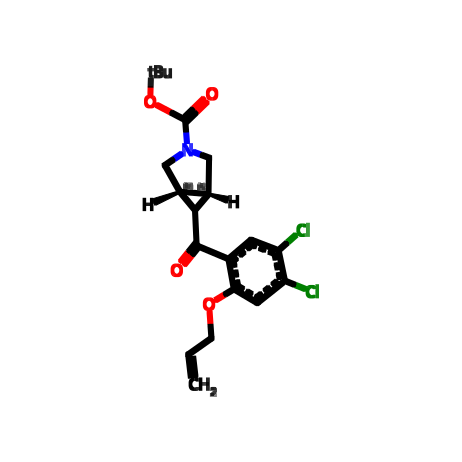 C=CCOc1cc(Cl)c(Cl)cc1C(=O)C1[C@H]2CN(C(=O)OC(C)(C)C)C[C@@H]12